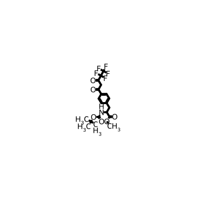 COC(=O)C(Cc1ccc(C(=O)CC(=O)C(F)(F)C(F)(F)F)cc1)NC(=O)OC(C)(C)C